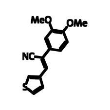 COc1ccc(C(C#N)=Cc2ccsc2)cc1OC